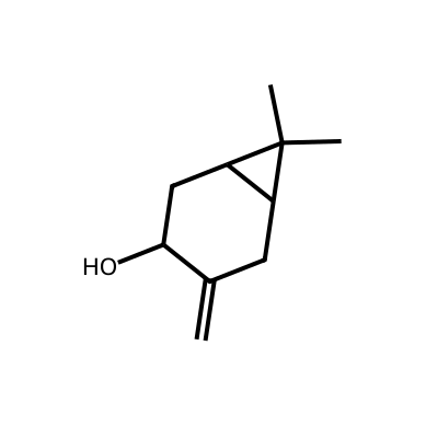 C=C1CC2C(CC1O)C2(C)C